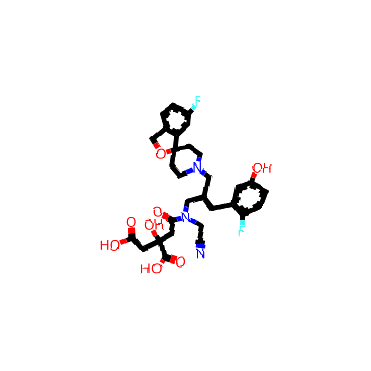 N#CCN(CC(Cc1cc(O)ccc1F)CN1CCC2(CC1)OCc1ccc(F)cc12)C(=O)CC(O)(CC(=O)O)C(=O)O